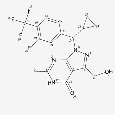 Cc1nc2c(c(CO)nn2[C@H](c2ccc(C(F)(F)F)c(F)c2)C2CC2)c(=O)[nH]1